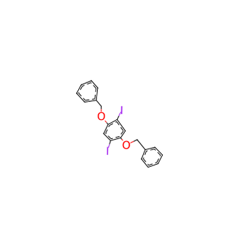 Ic1cc(OCc2ccccc2)c(I)cc1OCc1ccccc1